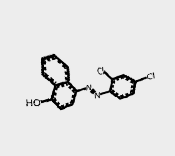 Oc1ccc(N=Nc2ccc(Cl)cc2Cl)c2ccccc12